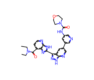 CCN(CC)C(=O)c1ccnc2[nH]c(-c3n[nH]c4ncc(-c5cncc(NC(=O)N6CCOCC6)c5)cc34)nc12